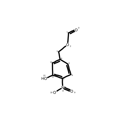 O=COCc1ccc([N+](=O)[O-])c(O)c1